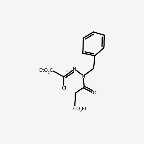 CCOC(=O)CC(=O)N(Cc1ccccc1)/N=C(\Cl)C(=O)OCC